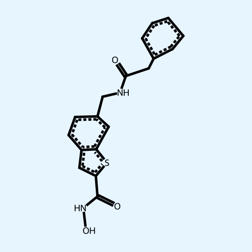 O=C(Cc1ccccc1)NCc1ccc2cc(C(=O)NO)sc2c1